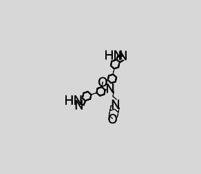 c1cc2c(cc1-c1ccc3[nH]ncc3c1)Oc1cc(-c3ccc4[nH]ncc4c3)ccc1N2CCCN1CC2COCC(C2)C1